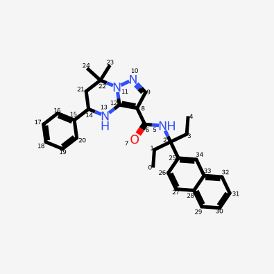 CCC(CC)(NC(=O)c1cnn2c1NC(c1ccccc1)CC2(C)C)c1ccc2ccccc2c1